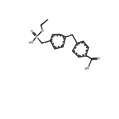 CCOP(=O)(O)Cc1ccc(Cc2ccc(C(=O)O)cc2)cc1